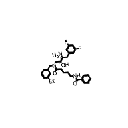 CCc1cccc(CN(C[C@@H](O)[C@@H](N)Cc2cc(F)cc(F)c2)C(=O)CCCCNC(=O)c2ccccc2)c1